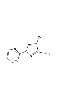 CC(=O)c1cn(-c2ncccn2)nc1N